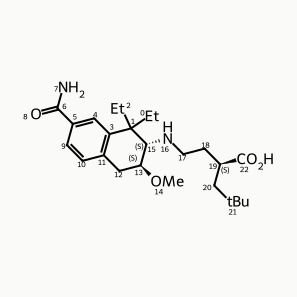 CCC1(CC)c2cc(C(N)=O)ccc2C[C@H](OC)[C@H]1NCC[C@H](CC(C)(C)C)C(=O)O